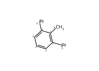 [CH2]C(C)c1cccc(C(C)C)c1C